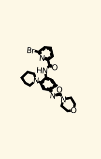 O=C(Nc1cc2oc(N3CCOCC3)nc2cc1N1CCCCC1)c1cccc(Br)n1